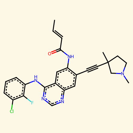 C/C=C/C(=O)Nc1cc2c(Nc3cccc(Cl)c3F)ncnc2cc1C#CC1(C)CCN(C)C1